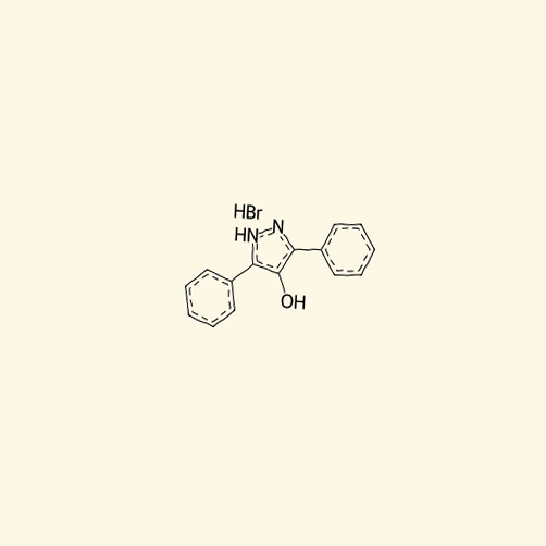 Br.Oc1c(-c2ccccc2)n[nH]c1-c1ccccc1